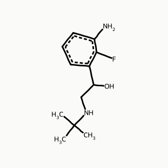 CC(C)(C)NCC(O)c1cccc(N)c1F